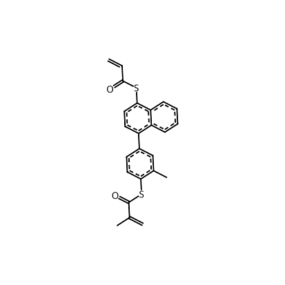 C=CC(=O)Sc1ccc(-c2ccc(SC(=O)C(=C)C)c(C)c2)c2ccccc12